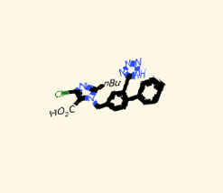 CCCCc1nc(Cl)c(C(=O)O)n1Cc1ccc(-c2ccccc2)c(-c2nnn[nH]2)c1